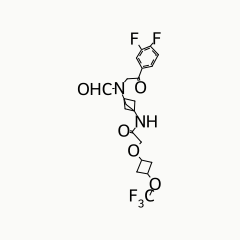 O=CN(CC(=O)c1ccc(F)c(F)c1)C12CC(NC(=O)COC3CC(OC(F)(F)F)C3)(C1)C2